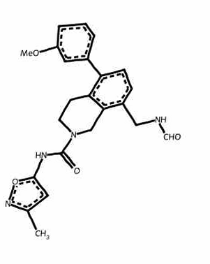 COc1cccc(-c2ccc(CNC=O)c3c2CCN(C(=O)Nc2cc(C)no2)C3)c1